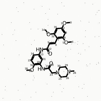 COc1cc(OC)c(C=CC(=O)Nc2ccc(OC)c(NC(=O)CN3CCN(C)CC3)c2)c(OC)c1